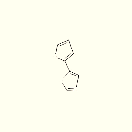 c1coc(-c2cnco2)c1